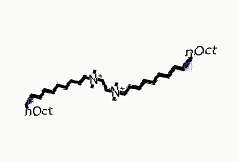 CCCCCCCC/C=C\CCCCCCCC[N+](C)(C)CC[N+](C)(C)CCCCCCCC/C=C\CCCCCCCC